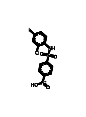 O=[N+](O)c1ccc(S(=O)(=O)Nc2ccc(I)cc2Cl)cc1